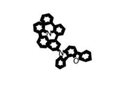 c1ccc(-c2cccc(-c3cccc(-n4c5ccccc5c5c6oc7ccccc7c6ccc54)c3)c2-n2c3ccccc3c3ccccc32)cc1